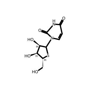 O=c1ccn(C2S[C@H](CO)[C@@H](O)[C@H]2O)c(=O)[nH]1